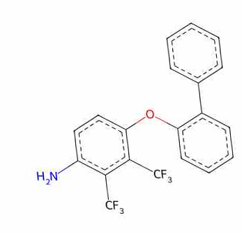 Nc1ccc(Oc2ccccc2-c2ccccc2)c(C(F)(F)F)c1C(F)(F)F